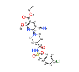 CCOC(=O)c1cc(C#N)c(N2CCC(C(=O)NS(=O)(=O)Cc3ccc(Cl)cc3)CC2)nc1OC